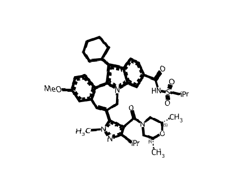 COc1ccc2c(c1)C=C(c1c(C(=O)N3C[C@@H](C)O[C@@H](C)C3)c(C(C)C)nn1C)Cn1c-2c(C2CCCCC2)c2ccc(C(=O)NS(=O)(=O)C(C)C)cc21